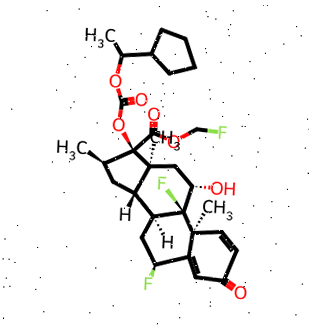 CC(OC(=O)O[C@]1(C(=O)OCF)[C@H](C)C[C@H]2[C@@H]3C[C@H](F)C4=CC(=O)C=C[C@]4(C)[C@@]3(F)[C@@H](O)C[C@@]21C)C1CCCC1